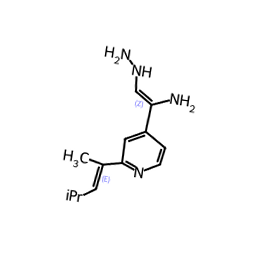 C/C(=C\C(C)C)c1cc(/C(N)=C/NN)ccn1